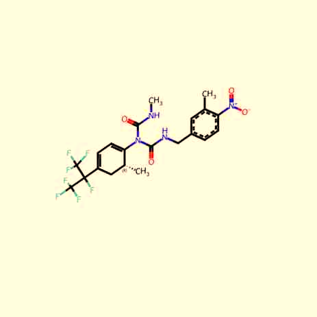 CNC(=O)N(C(=O)NCc1ccc([N+](=O)[O-])c(C)c1)C1=CC=C(C(F)(C(F)(F)F)C(F)(F)F)C[C@H]1C